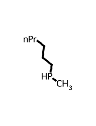 CCCCCCPC